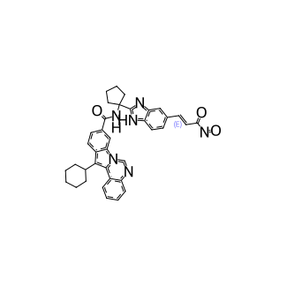 O=NC(=O)/C=C/c1ccc2[nH]c(C3(NC(=O)c4ccc5c(C6CCCCC6)c6c7ccccc7ncn6c5c4)CCCC3)nc2c1